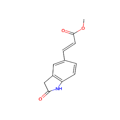 COC(=O)/C=C/c1ccc2c(c1)CC(=O)N2